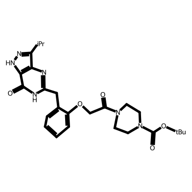 CC(C)c1n[nH]c2c(=O)[nH]c(Cc3ccccc3OCC(=O)N3CCN(C(=O)OC(C)(C)C)CC3)nc12